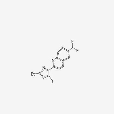 CCn1cc(I)c(-c2ccc3cc(C(F)F)ccc3n2)n1